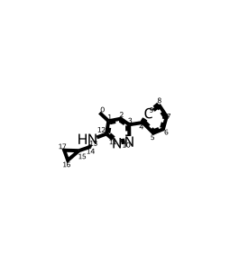 Cc1cc(-c2ccccc2)nnc1NCC1CC1